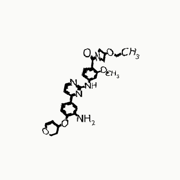 CCOC1CN(C(=O)c2ccc(Nc3nccc(-c4ccc(OC5CCOCC5)c(N)c4)n3)cc2OC)C1